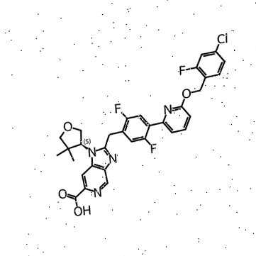 CC1(C)COC[C@H]1n1c(Cc2cc(F)c(-c3cccc(OCc4ccc(Cl)cc4F)n3)cc2F)nc2cnc(C(=O)O)cc21